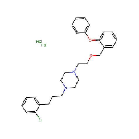 Cl.Cl.Clc1ccccc1CCCN1CCN(CCOCc2ccccc2Oc2ccccc2)CC1